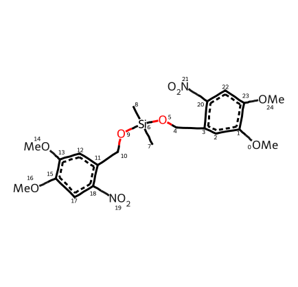 COc1cc(CO[Si](C)(C)OCc2cc(OC)c(OC)cc2[N+](=O)[O-])c([N+](=O)[O-])cc1OC